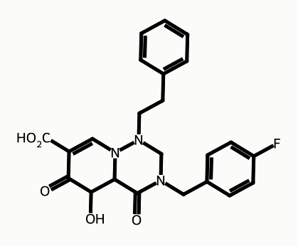 O=C(O)C1=CN2C(C(=O)N(Cc3ccc(F)cc3)CN2CCc2ccccc2)C(O)C1=O